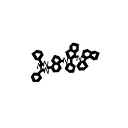 c1ccc(-c2nc(-c3ccccc3)nc(-c3cccc4c(-n5c6ccccc6c6c(-n7c8ccccc8c8c9ccccc9ccc87)c7ccccc7cc65)cccc34)n2)cc1